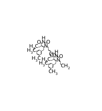 C=CCn1c(Cc2cc(C)cc(C)c2)c(CC)c(=O)[nH]c1=O.CC=CCn1c(Cc2cc(C)cc(C)c2)c(CC)c(=O)[nH]c1=O